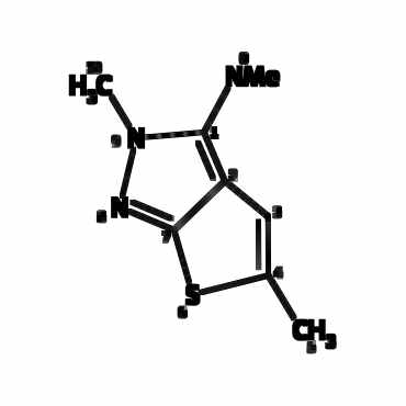 CNc1c2cc(C)sc2nn1C